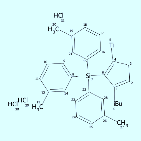 CCC(C)C1=CC[C]([Ti])=C1[Si](c1cccc(C)c1)(c1cccc(C)c1)c1cccc(C)c1.Cl.Cl.Cl